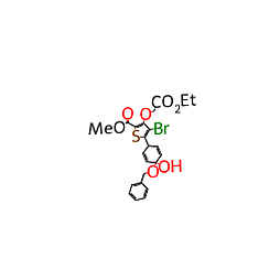 CCOC(=O)COc1c(C(=O)OC)sc(C2C=CC(O)(OCc3ccccc3)C=C2)c1Br